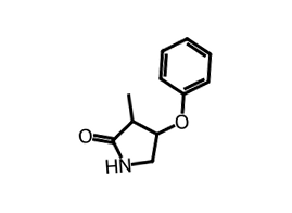 CC1C(=O)NCC1Oc1ccccc1